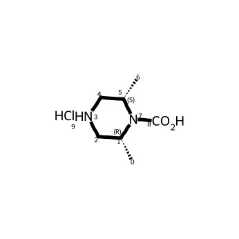 C[C@@H]1CNC[C@H](C)N1C(=O)O.Cl